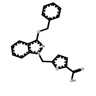 O=C(O)c1ccc(Cn2nc(OCc3ccccc3)c3ccccc32)o1